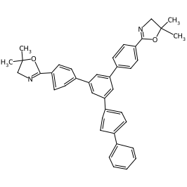 CC1(C)CN=C(c2ccc(-c3cc(-c4ccc(C5=NCC(C)(C)O5)cc4)cc(-c4ccc(-c5ccccc5)cc4)c3)cc2)O1